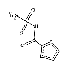 NS(=O)(=O)NC(=O)c1cccs1